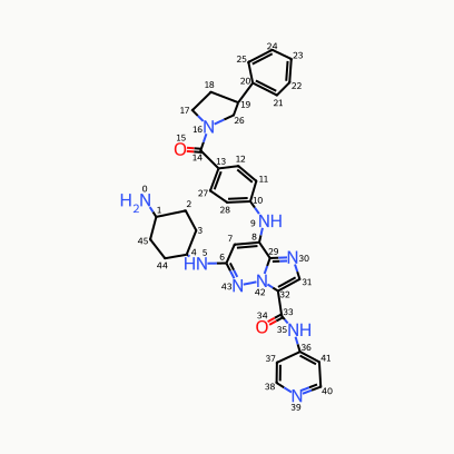 NC1CCC(Nc2cc(Nc3ccc(C(=O)N4CCC(c5ccccc5)C4)cc3)c3ncc(C(=O)Nc4ccncc4)n3n2)CC1